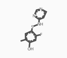 Cc1cc(SNc2ccncn2)c(F)cc1O